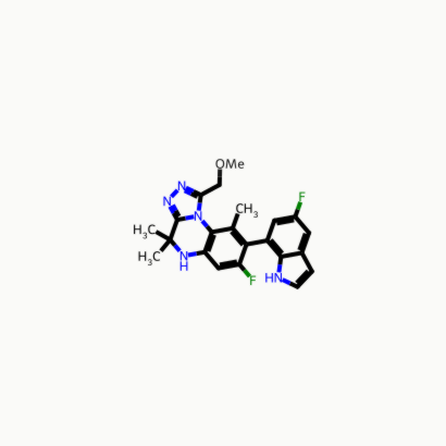 COCc1nnc2n1-c1c(cc(F)c(-c3cc(F)cc4cc[nH]c34)c1C)NC2(C)C